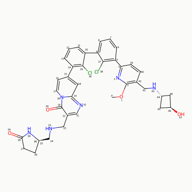 COc1nc(-c2cccc(-c3cccc(-c4ccn5c(=O)c(CNC[C@H]6CCC(=O)N6)cnc5c4)c3Cl)c2Cl)ccc1CN[C@H]1C[C@H](O)C1